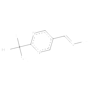 C/N=C/c1cnc(C(C)(N)F)nc1